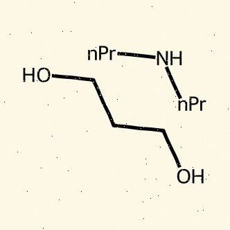 CCCNCCC.OCCCO